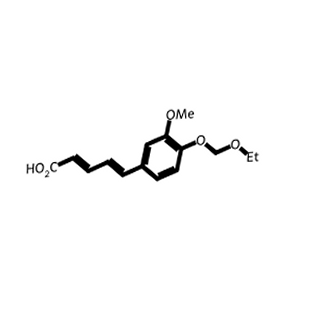 CCOCOc1ccc(C=CC=CC(=O)O)cc1OC